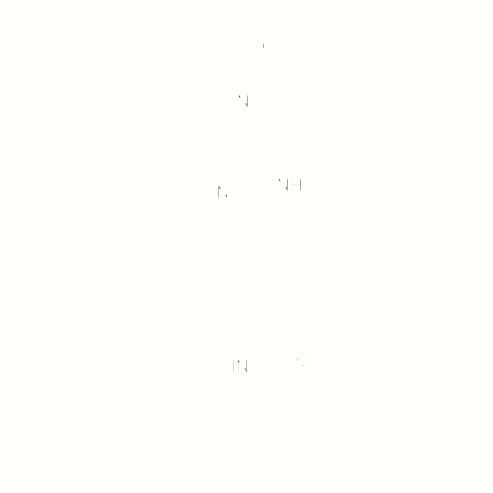 O=C(NCC1CC1)c1ccc2c(Nc3ccc(Cl)nc3)nccc2c1